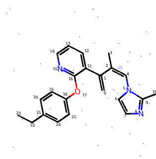 C=C(/C(C)=C\n1ccnc1C)c1cccnc1Oc1ccc(CC)cc1